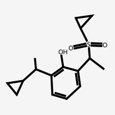 CC(c1cccc(C(C)S(=O)(=O)C2CC2)c1O)C1CC1